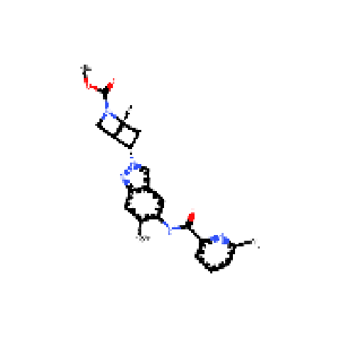 COc1cc2nn([C@H]3C[C@@H]4C3CN4C(=O)OC(C)(C)C)cc2cc1NC(=O)c1cccc(C(F)(F)F)n1